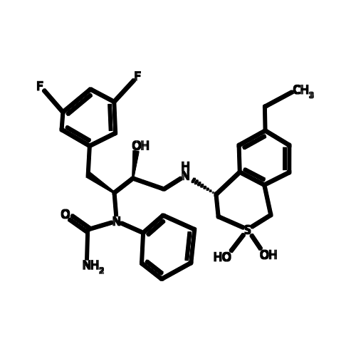 CCc1ccc2c(c1)[C@@H](NC[C@H](O)[C@H](Cc1cc(F)cc(F)c1)N(C(N)=O)c1ccccc1)CS(O)(O)C2